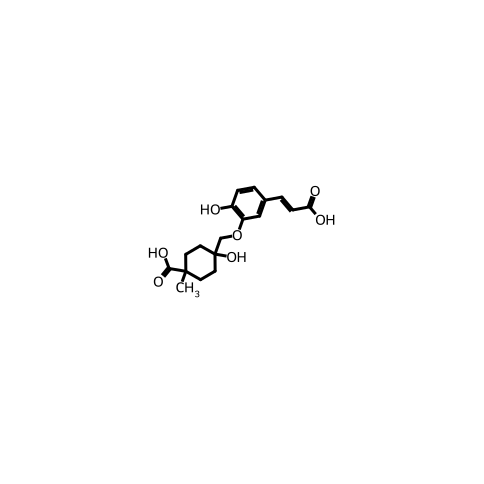 CC1(C(=O)O)CCC(O)(COc2cc(C=CC(=O)O)ccc2O)CC1